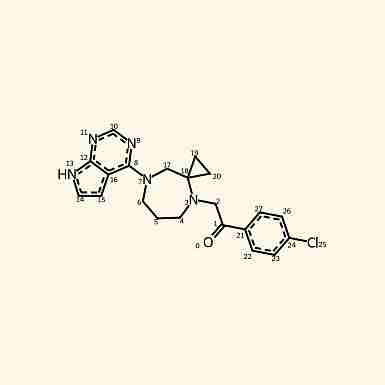 O=C(CN1CCCN(c2ncnc3[nH]ccc23)CC12CC2)c1ccc(Cl)cc1